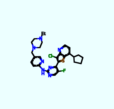 CCN1CCN(Cc2ccc(Nc3ncc(F)c(-c4sc5c(C6CCCC6)ccnc5c4Cl)n3)nc2)CC1